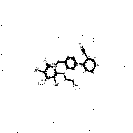 CCCCc1c(Br)c(O)c(Br)c(=O)n1Cc1ccc(-c2ccccc2C#N)cc1